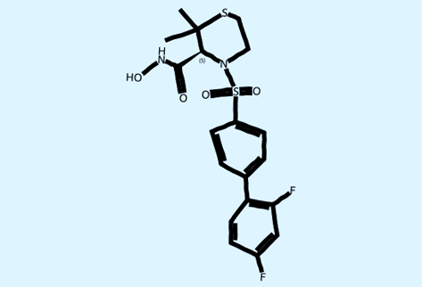 CC1(C)SCCN(S(=O)(=O)c2ccc(-c3ccc(F)cc3F)cc2)[C@H]1C(=O)NO